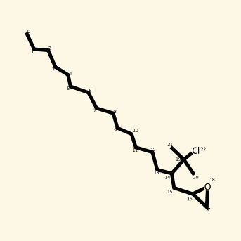 CCCCCCCCCCCCCCC(CC1CO1)C(C)(C)Cl